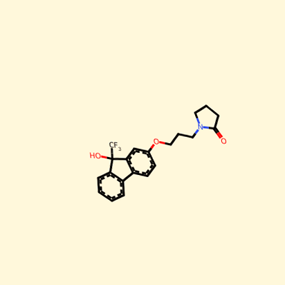 O=C1CCCN1CCCOc1ccc2c(c1)C(O)(C(F)(F)F)c1ccccc1-2